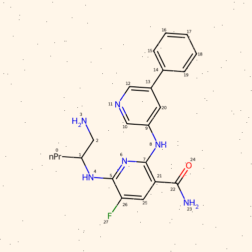 CCCC(CN)Nc1nc(Nc2cncc(-c3ccccc3)c2)c(C(N)=O)cc1F